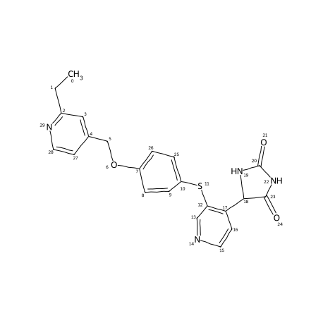 CCc1cc(COc2ccc(Sc3cnccc3C3NC(=O)NC3=O)cc2)ccn1